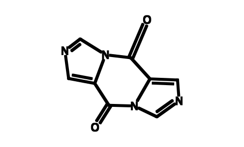 O=c1c2cncn2c(=O)c2cncn12